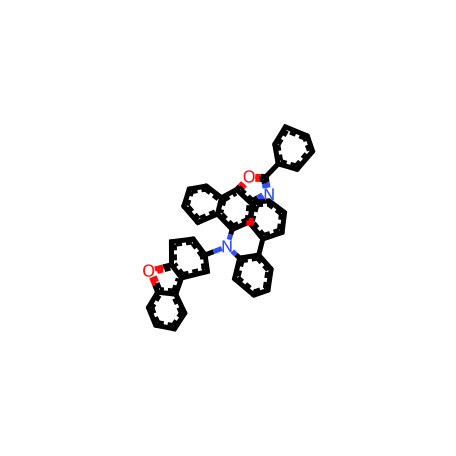 c1ccc(-c2nc3cc(N(c4ccc5oc6ccccc6c5c4)c4ccccc4-c4ccccc4)c4ccccc4c3o2)cc1